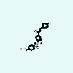 CCc1ccc(S(=O)(=O)Nc2ccc(C(=O)/C=C/c3ccc(O)cc3)cc2)cc1